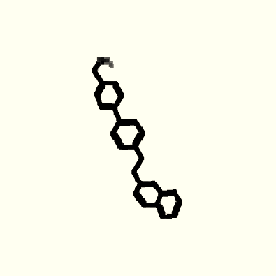 NCc1ccc(-c2ccc(CCc3ccc4ccccc4c3)cc2)cc1